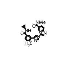 CNC(=O)c1ccc2ncc(-n3cnc(-c4cc(C(=O)NC5CC5)ccc4C)c3)n2c1